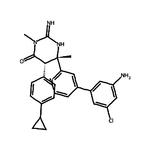 CN1C(=N)N[C@](C)(c2cc(-c3cc(N)cc(Cl)c3)ccn2)[C@H](c2ccc(C3CC3)cc2)C1=O